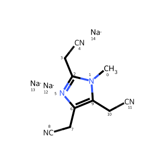 Cn1c(CC#N)nc(CC#N)c1CC#N.[Na].[Na].[Na]